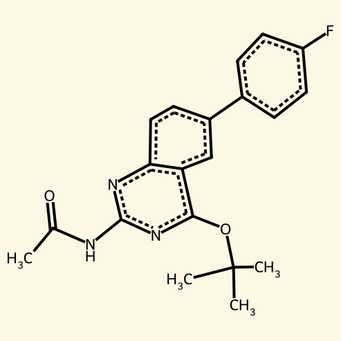 CC(=O)Nc1nc(OC(C)(C)C)c2cc(-c3ccc(F)cc3)ccc2n1